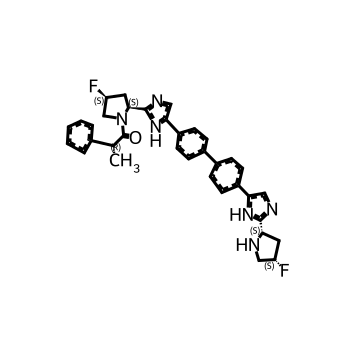 C[C@@H](C(=O)N1C[C@@H](F)C[C@H]1c1ncc(-c2ccc(-c3ccc(-c4cnc([C@@H]5C[C@H](F)CN5)[nH]4)cc3)cc2)[nH]1)c1ccccc1